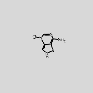 NC1=C2SNC=C2N(Cl)C=N1